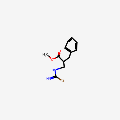 COC(=O)C(CNC(=N)S)Cc1ccccc1